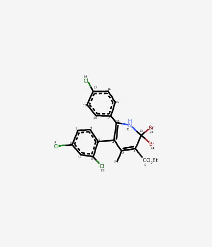 CCOC(=O)C1=C(C)C(c2ccc(Cl)cc2Cl)=C(c2ccc(Cl)cc2)NC1(Br)Br